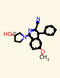 COc1ccc2c(N3CC[C@@H](O)C3)nc(C#N)c(-c3ccccc3)c2c1